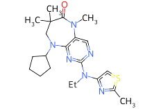 CCN(c1csc(C)n1)c1ncc2c(n1)N(C1CCCC1)CC(C)(C)C(=O)N2C